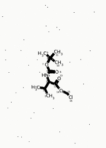 CC(C)C(NC(=O)OC(C)(C)C)C(=O)OCCl